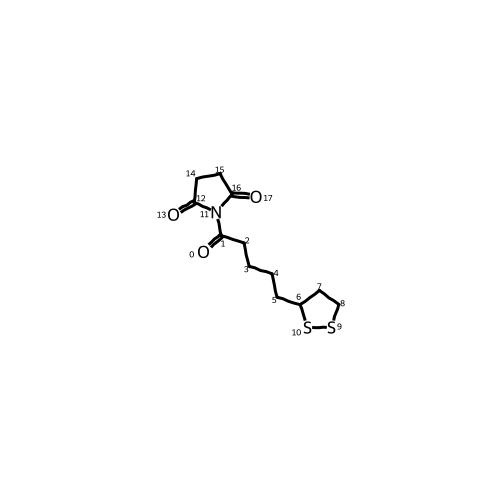 O=C(CCCCC1CCSS1)N1C(=O)CCC1=O